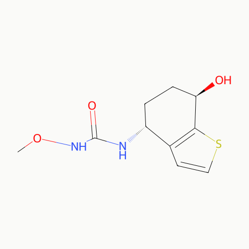 CONC(=O)N[C@@H]1CC[C@@H](O)c2sccc21